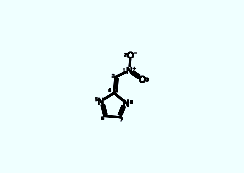 O=[N+]([O-])C=C1N=CC=N1